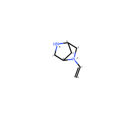 C=CN1CC2CC1CN2